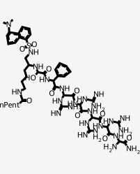 CCCCCC(=O)NCCCCC(CNS(=O)(=O)c1cccc2c(N(C)C)cccc12)NC(O)C(=O)NC(C(=O)NC(NC(=N)N)C(=O)NC(NC(=N)N)C(=O)NC(NC(=N)N)C(=O)NC(NC(=N)N)C(=O)NC(N)C(N)=O)c1ccccc1